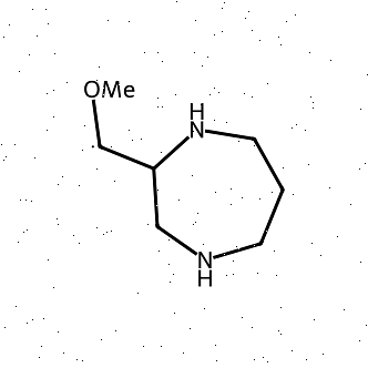 CO[CH]C1CNCCCN1